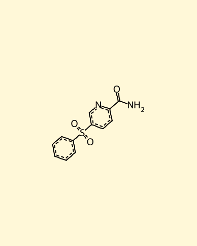 NC(=O)c1ccc(S(=O)(=O)c2ccccc2)cn1